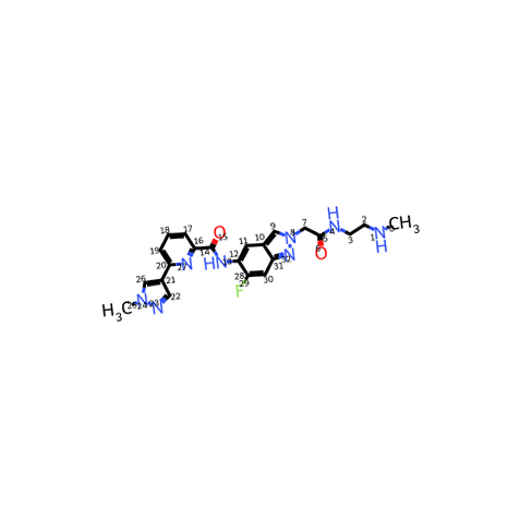 CNCCNC(=O)Cn1cc2cc(NC(=O)c3cccc(-c4cnn(C)c4)n3)c(F)cc2n1